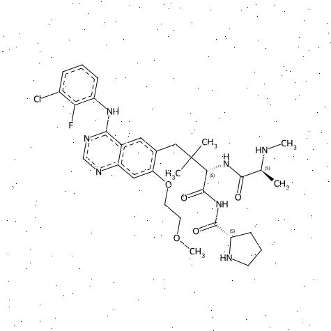 CN[C@@H](C)C(=O)N[C@H](C(=O)NC(=O)[C@@H]1CCCN1)C(C)(C)Cc1cc2c(Nc3cccc(Cl)c3F)ncnc2cc1OCCOC